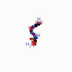 CCC(c1cccc(-c2nc(C(C)(C)C)sc2-c2ccnc(NC3CC4(C3)CN(CC3CCN(C(=O)C5CCN(c6ccc(C7CCC(=O)NC7=O)cc6)CC5)CC3)C4)n2)c1F)S(N)(=O)=O